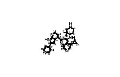 CC1(C)CNCC[C@@H]1Nc1nc(-c2ccnc3[nH]c(-c4ccncc4)cc23)nc2cncc(C3CC3)c12